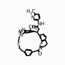 Cc1ccc(NC(=O)CC2c3ccc4c(c3)CN(CC4)C(=O)c3ccc(cc3)CCCCCn3nnc4c(C)c2ccc43)cn1